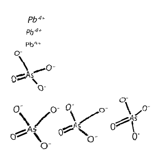 O=[As]([O-])([O-])[O-].O=[As]([O-])([O-])[O-].O=[As]([O-])([O-])[O-].O=[As]([O-])([O-])[O-].[Pb+4].[Pb+4].[Pb+4]